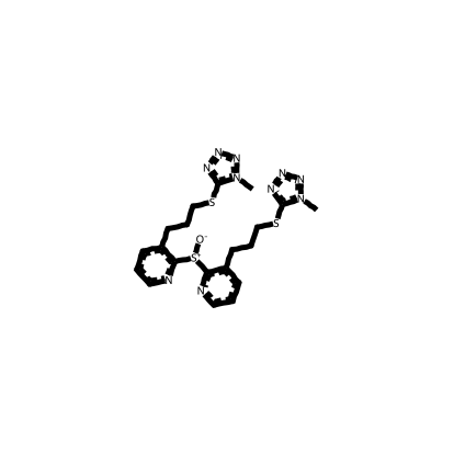 Cn1nnnc1SCCCc1cccnc1[S+]([O-])c1ncccc1CCCSc1nnnn1C